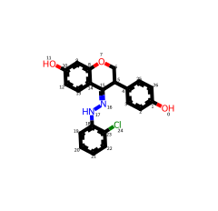 Oc1ccc(C2COc3cc(O)ccc3C2=NNc2ccccc2Cl)cc1